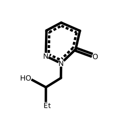 CCC(O)Cn1ncccc1=O